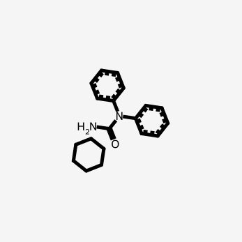 C1CCCCC1.NC(=O)N(c1ccccc1)c1ccccc1